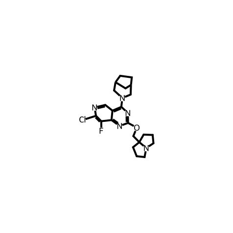 Fc1c(Cl)ncc2c(N3CC4CCC(C4)C3)nc(OCC34CCCN3CCC4)nc12